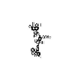 COc1cc(NC(=O)CCN2CCC(C(C(N)=O)(c3ccccc3)c3ccccc3)C2)c(Cl)cc1CNCC(O)c1ccc(O)c2[nH]c(=O)ccc12